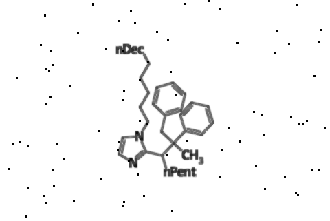 CCCCCCCCCCCCCCCn1ccnc1C(CCCCC)C(C)(Cc1ccccc1)c1ccccc1